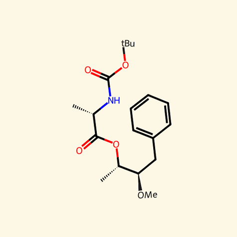 CO[C@H](Cc1ccccc1)[C@H](C)OC(=O)[C@H](C)NC(=O)OC(C)(C)C